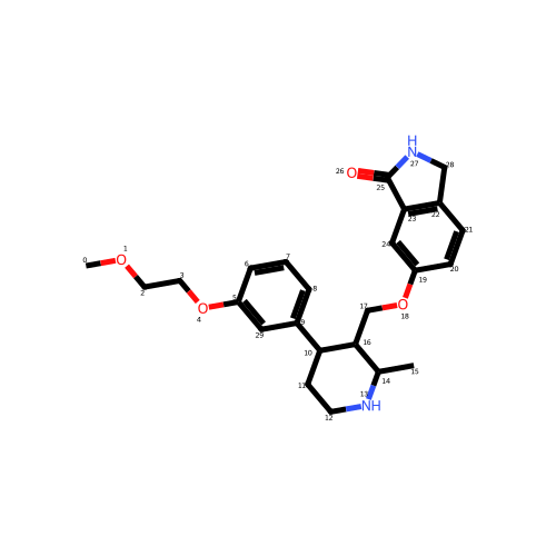 COCCOc1cccc(C2CCNC(C)C2COc2ccc3c(c2)C(=O)NC3)c1